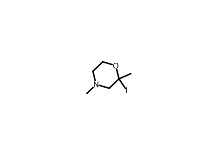 CN1CCOC(C)(I)C1